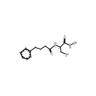 O=C(CCCc1ccccc1)NC(CS)C(=O)NO